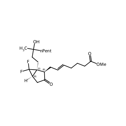 CCCCCC(C)(O)CC[C@]12[C@@H](CC=CCCCC(=O)OC)C(=O)C[C@H]1C2(F)F